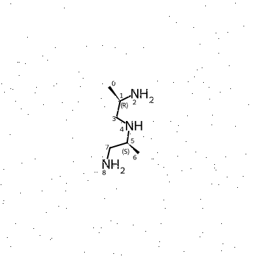 C[C@@H](N)CN[C@@H](C)CN